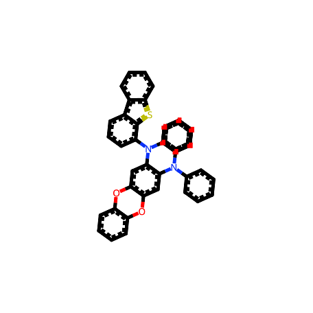 c1ccc(N(c2ccccc2)c2cc3c(cc2N(c2ccccc2)c2cccc4c2sc2ccccc24)Oc2ccccc2O3)cc1